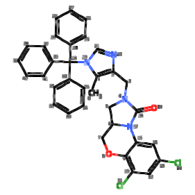 Cc1c(CN2CC3COc4c(Cl)cc(Cl)cc4N3C2=O)ncn1C(c1ccccc1)(c1ccccc1)c1ccccc1